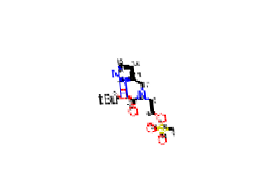 CC(C)(C)OC(=O)N(CCOS(C)(=O)=O)Cc1ccn[nH]1